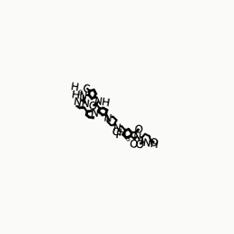 Cc1ccc(NC(=O)c2ccc(N3CCC(N(C)Cc4cc5c(cc4F)C(=O)N(C4CCC(=O)NC4=O)C5=O)CC3)cc2)cc1Nc1nccc(-c2cccnc2)n1